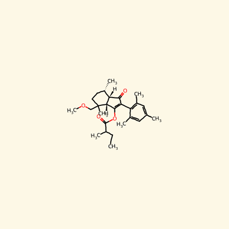 CCC(C)C(=O)OC1=C(c2c(C)cc(C)cc2C)C(=O)[C@H]2[C@@H](C)CCC(C)(COC)[C@@H]12